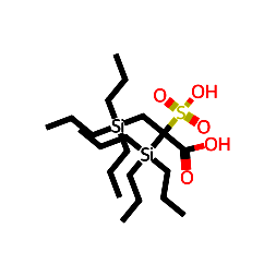 CCC[Si](CCC)(CCC)CC(C(=O)O)([Si](CCC)(CCC)CCC)S(=O)(=O)O